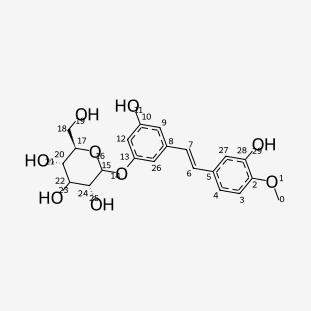 COc1ccc(/C=C/c2cc(O)cc(OC3O[C@H](CO)[C@@H](O)C(O)[C@H]3O)c2)cc1O